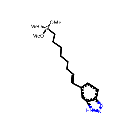 CO[Si](CCCCCC/C=C/c1ccc2nn[nH]c2c1)(OC)OC